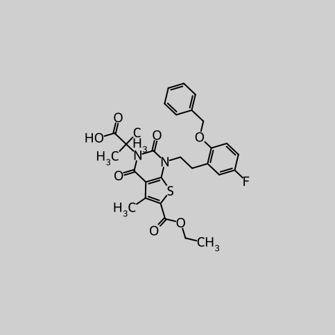 CCOC(=O)c1sc2c(c1C)c(=O)n(C(C)(C)C(=O)O)c(=O)n2CCc1cc(F)ccc1OCc1ccccc1